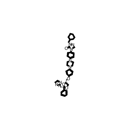 O=c1n(-c2ccc(N3CCN(c4ccc(OC[C@@H]5CO[C@@](Cn6nccn6)(c6ccccc6)O5)cc4)CC3)cc2)cnn1CC1CCCCC1